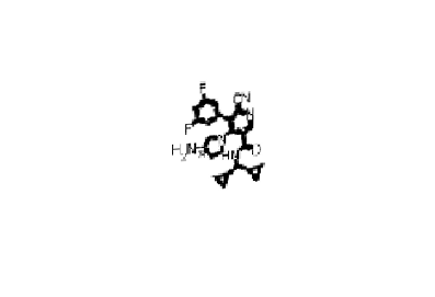 N#Cc1ncc(C(=O)NC(C2CC2)C2CC2)c(N2CC[C@H](N)C2)c1-c1cc(F)cc(F)c1